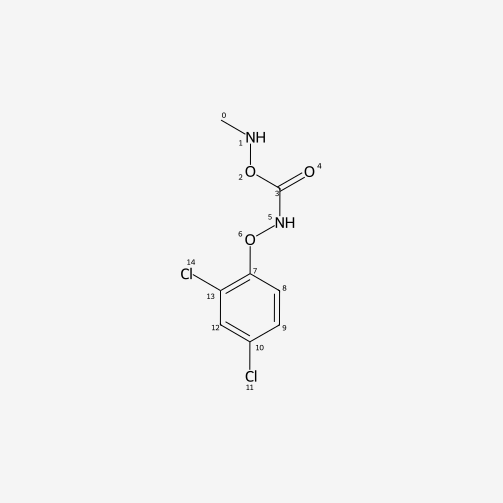 CNOC(=O)NOc1ccc(Cl)cc1Cl